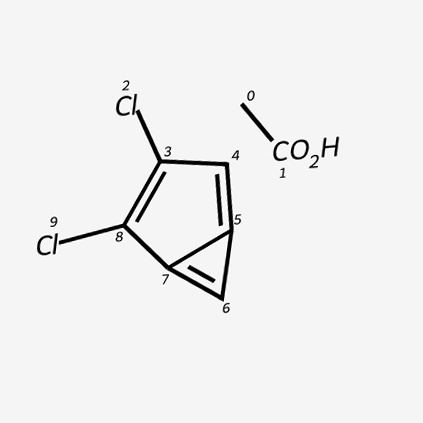 CC(=O)O.Clc1cc2cc-2c1Cl